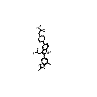 Cc1nc2c(C)cc(-c3[nH]c4ccc(C5CCN(CC(=O)N(C)C)CC5)cc4c3CC(F)F)cn2n1